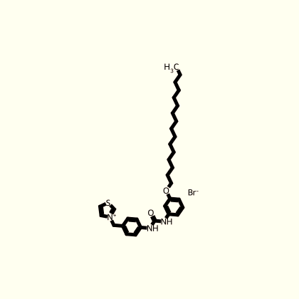 CCCCCCCCCCCCCCCCOc1cccc(NC(=O)Nc2ccc(C[n+]3ccsc3)cc2)c1.[Br-]